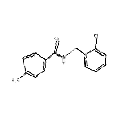 Cc1ccc(C(=O)NCc2ccccc2Cl)cc1